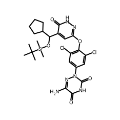 CC(C)(C)[Si](C)(C)OC(c1cc(Oc2c(Cl)cc(-n3nc(N)c(=O)[nH]c3=O)cc2Cl)n[nH]c1=O)C1CCCC1